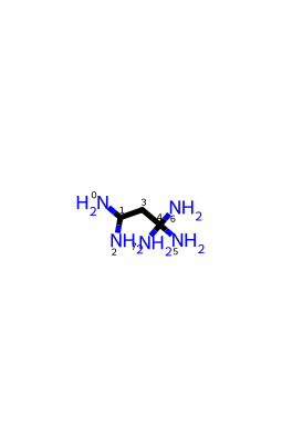 NC(N)CC(N)(N)N